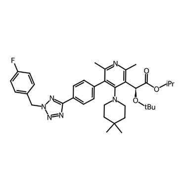 Cc1nc(C)c([C@H](OC(C)(C)C)C(=O)OC(C)C)c(N2CCC(C)(C)CC2)c1-c1ccc(-c2nnn(Cc3ccc(F)cc3)n2)cc1